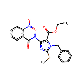 CCOC(=O)c1c(NC(=O)c2ccccc2[N+](=O)[O-])nc(SC)n1Cc1ccccc1